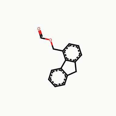 O=[C]OCc1cccc2c1-c1ccccc1C2